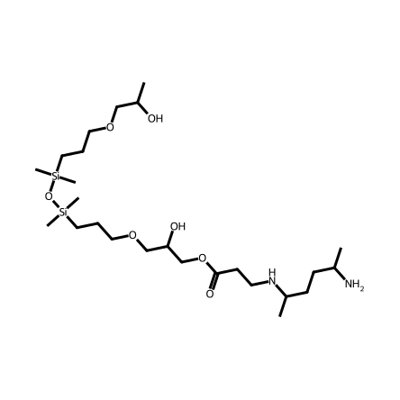 CC(N)CCC(C)NCCC(=O)OCC(O)COCCC[Si](C)(C)O[Si](C)(C)CCCOCC(C)O